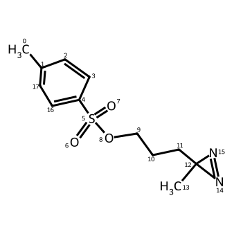 Cc1ccc(S(=O)(=O)OCCCC2(C)N=N2)cc1